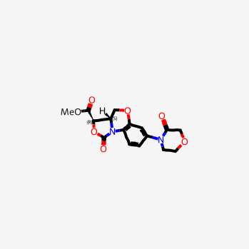 COC(=O)[C@@H]1OC(=O)N2c3ccc(N4CCOCC4=O)cc3OC[C@@H]12